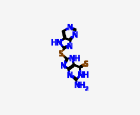 Nc1nc2nc(Sc3nc4ncncc4[nH]3)[nH]c2c(=S)[nH]1